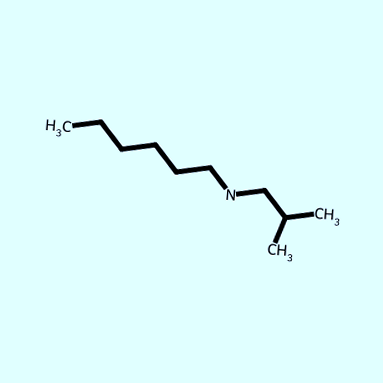 CCCCCC[N]CC(C)C